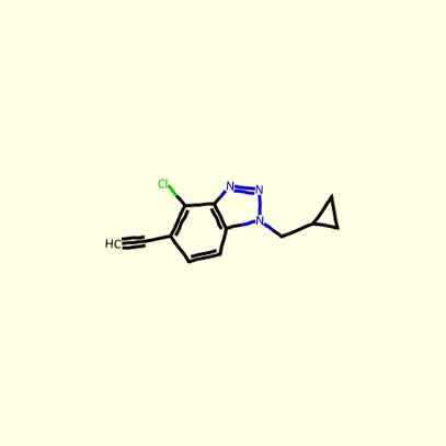 C#Cc1ccc2c(nnn2CC2CC2)c1Cl